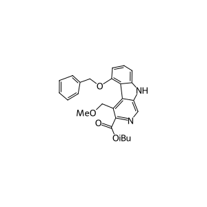 COCc1c(C(=O)OCC(C)C)ncc2[nH]c3cccc(OCc4ccccc4)c3c12